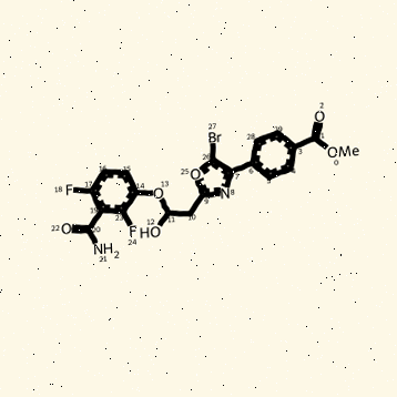 COC(=O)c1ccc(-c2nc(CC(O)Oc3ccc(F)c(C(N)=O)c3F)oc2Br)cc1